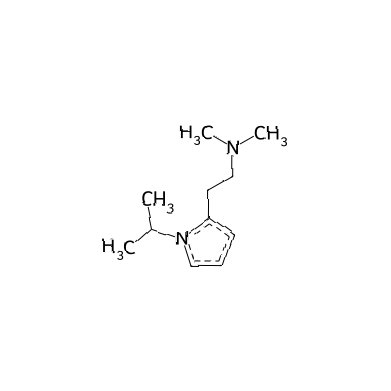 CC(C)n1cccc1CCN(C)C